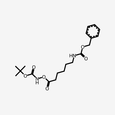 CC(C)(C)OC(=O)NOC(=O)CCCCCNC(=O)OCc1ccccc1